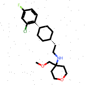 COCC1(NCC[C@H]2CC[C@@H](c3ccc(F)cc3Cl)CC2)CCOCC1